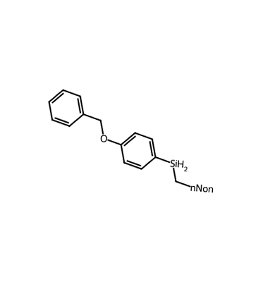 CCCCCCCCCC[SiH2]c1ccc(OCc2ccccc2)cc1